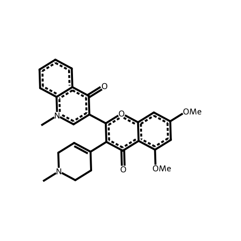 COc1cc(OC)c2c(=O)c(C3=CCN(C)CC3)c(-c3cn(C)c4ccccc4c3=O)oc2c1